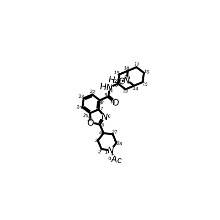 CC(=O)N1CCC(c2nc3c(C(=O)NC4CC5CCCC(C4)N5C)cccc3o2)CC1